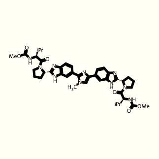 COC(=O)N[C@H](C(=O)N1CCC[C@H]1c1nc2ccc(-c3cn(C)c(-c4ccc5nc([C@@H]6CCCN6C(=O)[C@@H](NC(=O)OC)C(C)C)[nH]c5c4)n3)cc2[nH]1)C(C)C